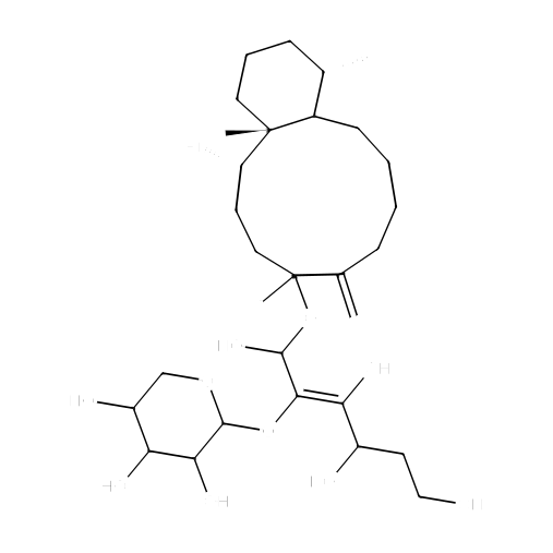 C=C1CCCCC2[C@@H](C)CCC[C@@]2(C)[C@@H](CC)CCC1(I)OC(O)/C(OC1OCC(O)C(O)C1O)=C(\O)C(O)CCO